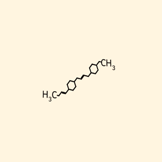 CCC=CC1CCC(CC=CCC2CCC(CC)CC2)CC1